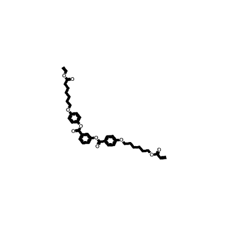 C=COC(=O)CCCCCCOc1ccc(OC(=O)c2cccc(OC(=O)c3ccc(OCCCCCCOC(=O)C=C)cc3)c2)cc1